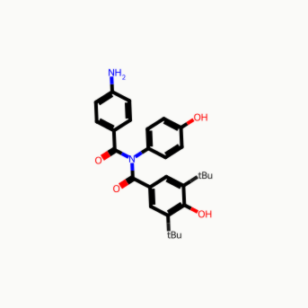 CC(C)(C)c1cc(C(=O)N(C(=O)c2ccc(N)cc2)c2ccc(O)cc2)cc(C(C)(C)C)c1O